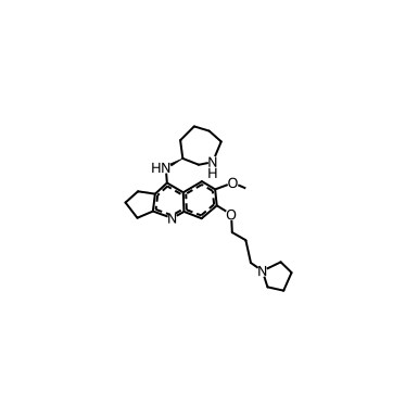 COc1cc2c(N[C@H]3CCCCNC3)c3c(nc2cc1OCCCN1CCCC1)CCC3